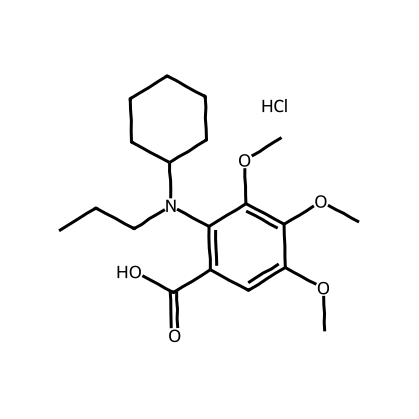 CCCN(c1c(C(=O)O)cc(OC)c(OC)c1OC)C1CCCCC1.Cl